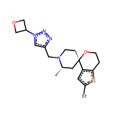 CCc1cc2c(s1)CCO[C@@]21CCN(Cc2cn(C3COC3)nn2)[C@@H](C)C1